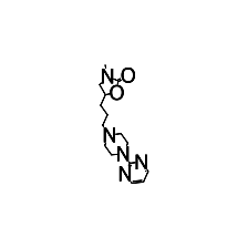 CN1CC(CCCN2CCN(c3ncccn3)CC2)OC1=O